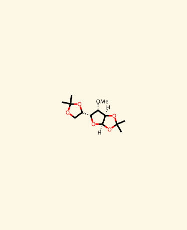 CO[C@@H]1[C@H]2OC(C)(C)O[C@H]2O[C@@H]1C1COC(C)(C)O1